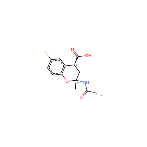 C[C@]1(NC(N)=O)C[C@H](C(=O)O)c2cc(F)ccc2O1